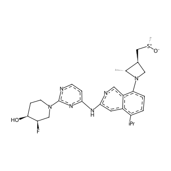 CC(C)c1ccc(N2C[C@H](C[S@+](C)[O-])[C@H]2C)c2cnc(Nc3ccnc(N4CC[C@H](O)[C@H](F)C4)n3)cc12